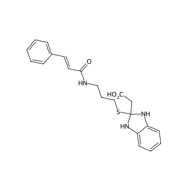 O=C(O)CC1(SCCCNC(=O)C=Cc2ccccc2)Nc2ccccc2N1